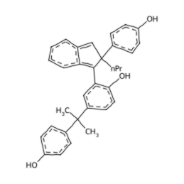 CCCC1(c2ccc(O)cc2)C=c2ccccc2=C1c1cc(C(C)(C)c2ccc(O)cc2)ccc1O